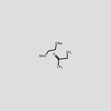 CCC(C)=O.COCCOC